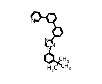 CC(C)(C)c1cccc(-n2cnc(-c3cccc(-c4cccc(-c5cccnc5)c4)c3)n2)c1